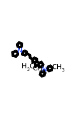 Cc1ccc(N(c2ccccc2)c2ccc3c(c2)C(C)(C)c2cc(/C=C/c4ccc(N(c5ccccc5)c5ccccc5)cc4)ccc2-3)cc1